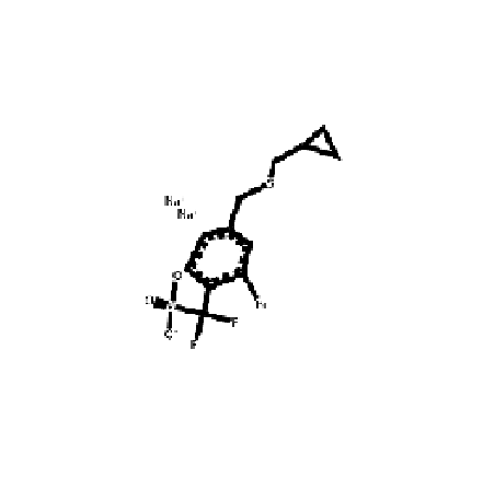 O=P([O-])([O-])C(F)(F)c1ccc(CSCC2CC2)cc1Br.[Na+].[Na+]